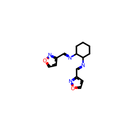 C(=NC1CCCCC1N=Cc1ccon1)c1ccon1